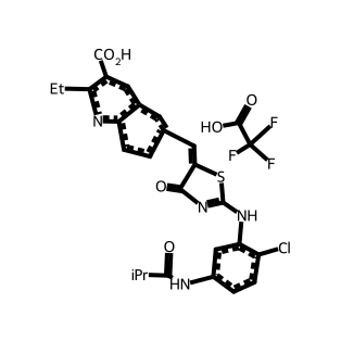 CCc1nc2ccc(C=C3SC(Nc4cc(NC(=O)C(C)C)ccc4Cl)=NC3=O)cc2cc1C(=O)O.O=C(O)C(F)(F)F